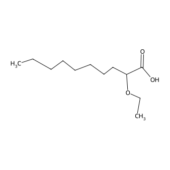 CCCCCCCCC(OCC)C(=O)O